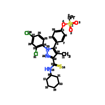 CCCS(=O)(=O)Oc1ccc(-c2c(C)c(C(=S)NC3CCCCC3)nn2-c2ccc(Cl)cc2Cl)cc1